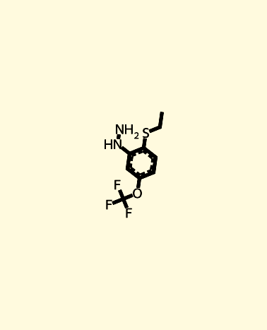 CCSc1ccc(OC(F)(F)F)cc1NN